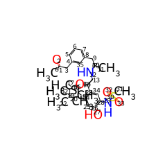 CC(=O)Cc1cccc(C[C@@H](C)NC[C@H](O[Si](C)(C)C(C)(C)C)c2ccc(O)c(NS(C)(=O)=O)c2)c1